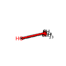 CCO[Si](CCCCCCCCCCCCCCCCCCCCCCCCCCCCCCCCCCCCCCO)(OCC)OCC